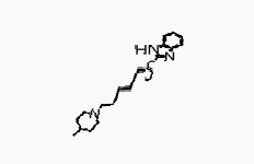 CC1CCN(CCCCCSc2nc3ccccc3[nH]2)CC1